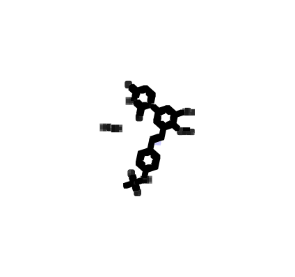 COc1c(/C=C/c2ccc(NS(C)(=O)=O)cc2)cc(-n2ccc(=O)[nH]c2=O)cc1C(C)(C)C.[KH].[KH]